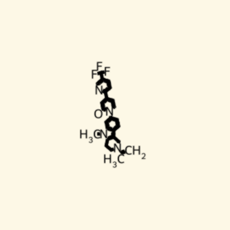 C=C(C)N1CCc2c(c3ccc(-n4ccc(-c5ccc(C(F)(F)F)cn5)cc4=O)cc3n2C)C1